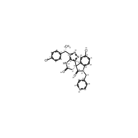 C[C@@H](c1ccc(Cl)cc1)n1nnc2c1NC(=O)C[C@]21C(=O)N(Cc2ccncc2)c2ccc(Cl)cc21